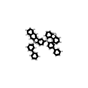 c1ccc(-c2ccc(N(c3ccc4c(c3)c3cc5ccccc5cc3n4-c3cccc(-c4ccccc4)c3)c3cccc4oc5ccccc5c34)cc2)cc1